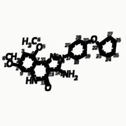 COc1cc(OC)c2c(c1)[nH]c(=O)c1c(N)n(-c3ccc(Oc4ccccc4)cc3)nc12